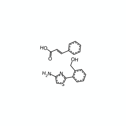 Nc1csc(-c2ccccc2CO)n1.O=C(O)C=Cc1ccccc1